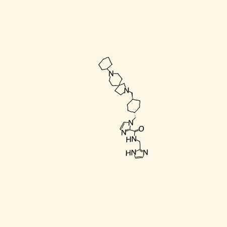 O=C(NCc1ncc[nH]1)c1nccn1C[C@H]1CC[C@H](CN2CCC3(CCN(C4CCCCC4)CC3)C2)CC1